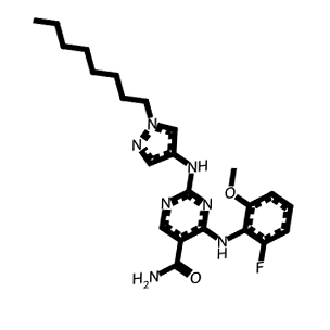 CCCCCCCCn1cc(Nc2ncc(C(N)=O)c(Nc3c(F)cccc3OC)n2)cn1